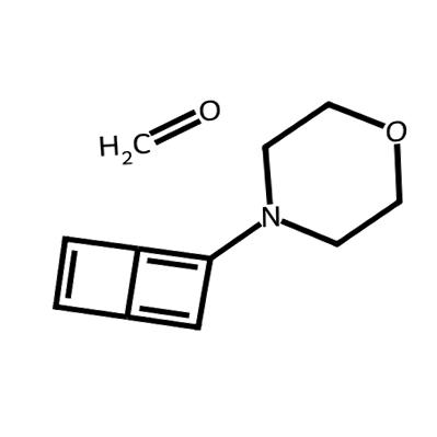 C=O.c1cc2c(N3CCOCC3)cc1-2